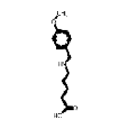 COc1ccc(CNCCCCC(=O)O)cc1